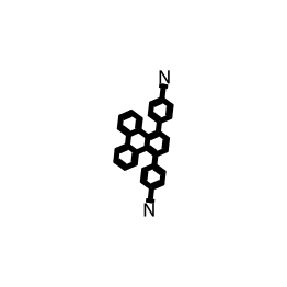 N#Cc1ccc(-c2ccc(-c3ccc(C#N)cc3)c3c4ccccc4c4ccccc4c23)cc1